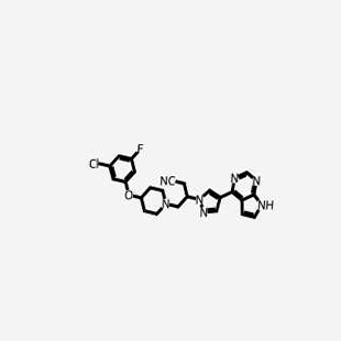 N#CCC(CN1CCC(Oc2cc(F)cc(Cl)c2)CC1)n1cc(-c2ncnc3[nH]ccc23)cn1